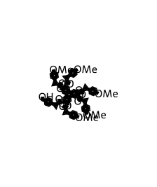 COc1ccc(C2CC2C(=O)Oc2cc3c(cc2OC(=O)C2CC2c2ccc(CO)cc2)c2cc(OC(=O)C4CC4c4ccc(OC)cc4)c(OC(=O)C4CC4c4ccc(OC)cc4)cc2c2cc(OC(=O)C4CC4c4ccc(OC)cc4)c(OC(=O)C4CC4c4ccc(OC)cc4)cc32)cc1